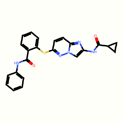 O=C(Nc1ccccc1)c1ccccc1Sc1ccc2nc(NC(=O)C3CC3)cn2n1